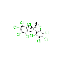 C[C]([Sb])(Cc1c(Cl)c(Cl)c(Cl)c(Cl)c1Cl)c1c(Cl)c(Cl)c(Cl)c(Cl)c1Cl